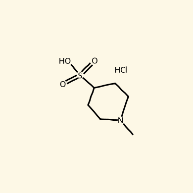 CN1CCC(S(=O)(=O)O)CC1.Cl